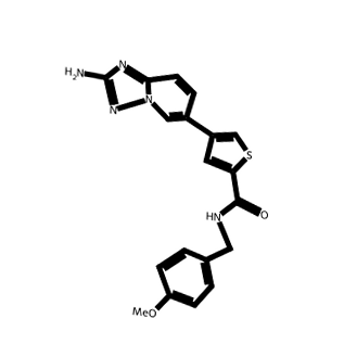 COc1ccc(CNC(=O)c2cc(-c3ccc4nc(N)nn4c3)cs2)cc1